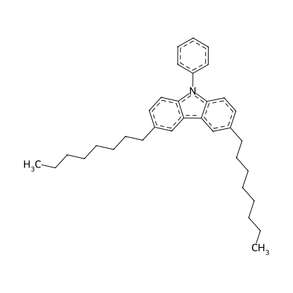 CCCCCCCCc1ccc2c(c1)c1cc(CCCCCCCC)ccc1n2-c1ccccc1